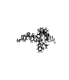 COc1cc(C(=O)N2C[C@H]3CC[C@@H]2[C@@H]3NC(=O)OC(C)(C)C)cc2nc(-c3cc4cccnc4n3CC3CC3)n(CC3CCN(C(=O)c4cnc(C#N)nc4)CC3)c12